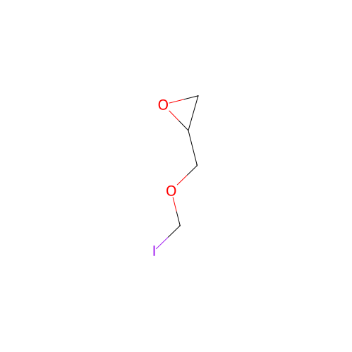 ICOCC1CO1